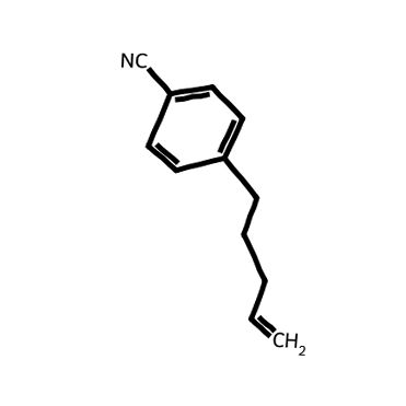 C=CCCCc1ccc(C#N)cc1